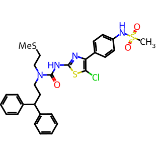 CSCCN(CCC(c1ccccc1)c1ccccc1)C(=O)Nc1nc(-c2ccc(NS(C)(=O)=O)cc2)c(Cl)s1